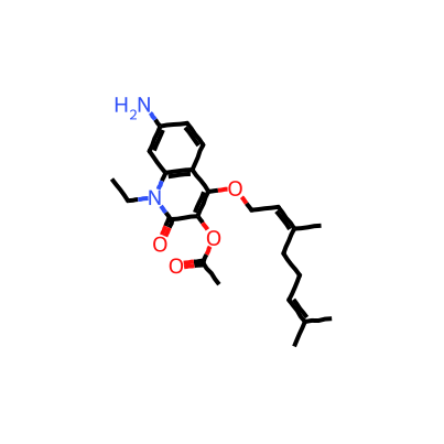 CCn1c(=O)c(OC(C)=O)c(OCC=C(C)CCC=C(C)C)c2ccc(N)cc21